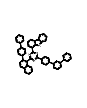 c1ccc(-c2ccc(-c3ccc4ccccc4c3-c3nc(-c4ccc(-c5cccc(-c6ccccc6)c5)cc4)nc(-c4cccc5c4sc4ccccc45)n3)cc2)cc1